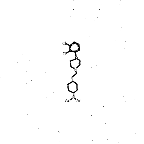 CC(=O)N(C(C)=O)[C@H]1CC[C@H](CCN2CCN(c3cccc(Cl)c3Cl)CC2)CC1